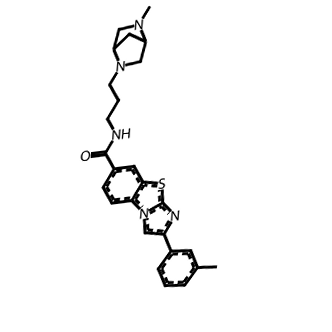 Cc1cccc(-c2cn3c(n2)sc2cc(C(=O)NCCCN4CC5CC4CN5C)ccc23)c1